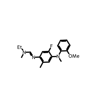 CCN(C)C=Nc1cc(F)c(N(C)c2ccccc2OC)cc1C